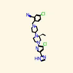 CC[C@H]1CN(c2ncc(-c3ncc[nH]3)cc2Cl)CCN1C1CCN(Cc2ccc(Cl)cc2C#N)CC1